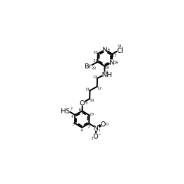 O=[N+]([O-])c1ccc(S)c(OCCCCNc2nc(Cl)ncc2Br)c1